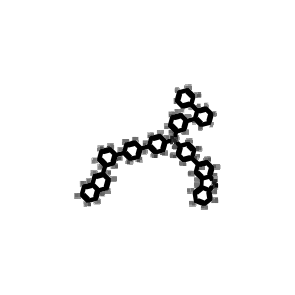 c1ccc(-c2ccccc2-c2cccc(N(c3ccc(-c4ccc(-c5cccc(-c6ccc7ccccc7c6)c5)cc4)cc3)c3ccc(-c4ccc5sc6ccccc6c5c4)cc3)c2)cc1